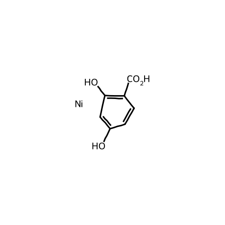 O=C(O)c1ccc(O)cc1O.[Ni]